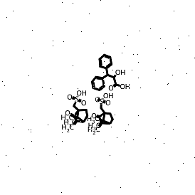 C=C1C(=O)C2(CS(=O)(=O)O)CCC1C2(C)C.C=C1C(=O)C2(CS(=O)(=O)O)CCC1C2(C)C.O=C(O)C(O)C(c1ccccc1)c1ccccc1